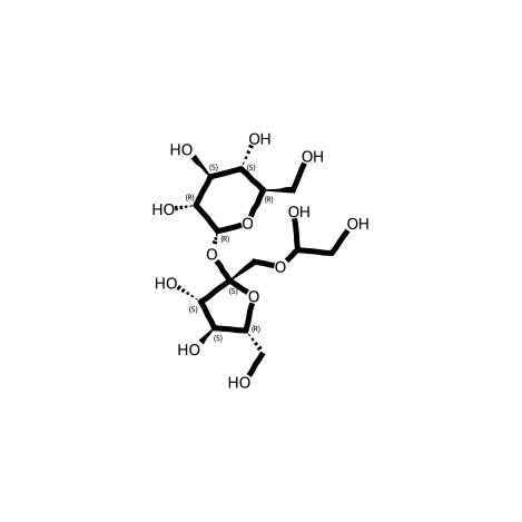 OCC(O)OC[C@@]1(O[C@H]2O[C@H](CO)[C@@H](O)[C@H](O)[C@H]2O)O[C@H](CO)[C@@H](O)[C@@H]1O